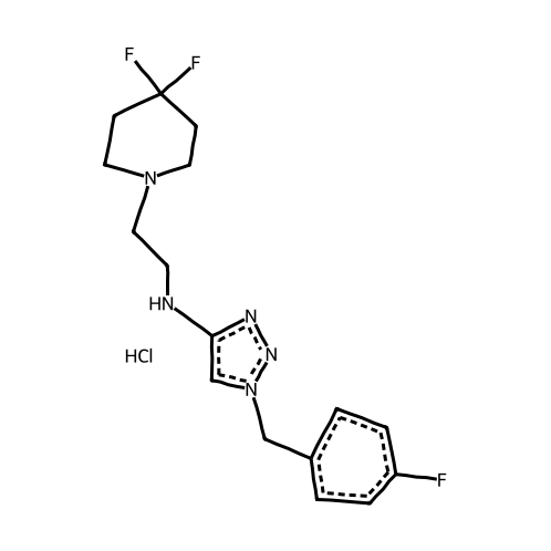 Cl.Fc1ccc(Cn2cc(NCCN3CCC(F)(F)CC3)nn2)cc1